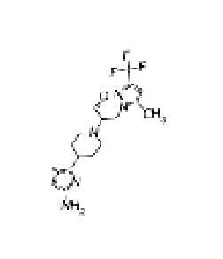 Cc1cc(C(F)(F)F)nn1CC(C=O)N1CCC(c2nc(N)cs2)CC1